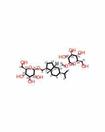 CC(C)[C@H]1CC[C@]2(C)[C@@H](CO[C@@H]3O[C@H](CO)[C@@H](O)[C@H](O)[C@H]3O)CC[C@@H]2[C@@H]1CO[C@@H]1O[C@H](CO)[C@@H](O)[C@H](O)[C@H]1O